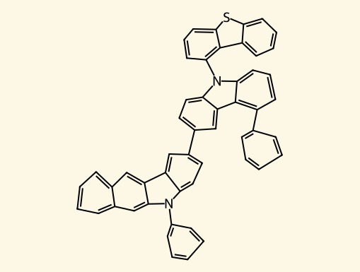 c1ccc(-c2cccc3c2c2cc(-c4ccc5c(c4)c4cc6ccccc6cc4n5-c4ccccc4)ccc2n3-c2cccc3sc4ccccc4c23)cc1